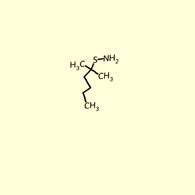 CCCCC(C)(C)SN